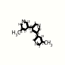 Cc1cncc(-c2cncc(-c3cncc(C)c3)c2)c1